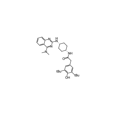 CN(C)c1nc(N[C@H]2CC[C@@H](NC(=O)Cc3cc(C(C)(C)C)c(O)c(C(C)(C)C)c3)CC2)nc2ccccc12